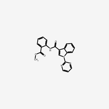 COC(=O)c1ccccc1NC(=O)c1cn(-c2ncccn2)c2ccccc12